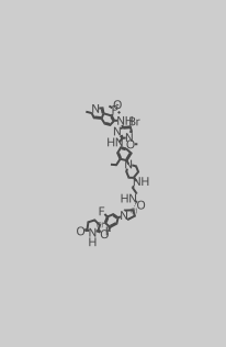 CCc1cc(Nc2ncc(Br)c(Nc3ccc4cc(C)ncc4c3P(C)(C)=O)n2)c(OC)cc1N1CCC(NCCNC(=O)[C@@H]2CCN(c3cc(F)c([C@H]4CCC(=O)NC4=O)c(F)c3)C2)CC1